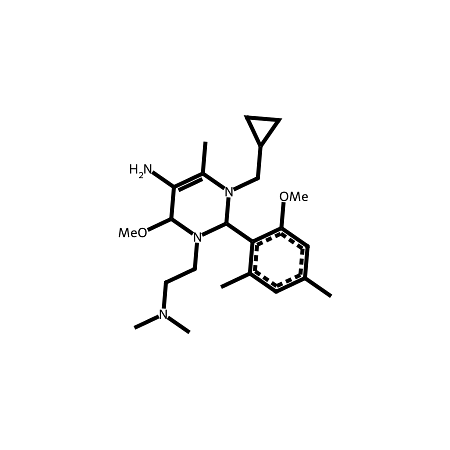 COc1cc(C)cc(C)c1C1N(CC2CC2)C(C)=C(N)C(OC)N1CCN(C)C